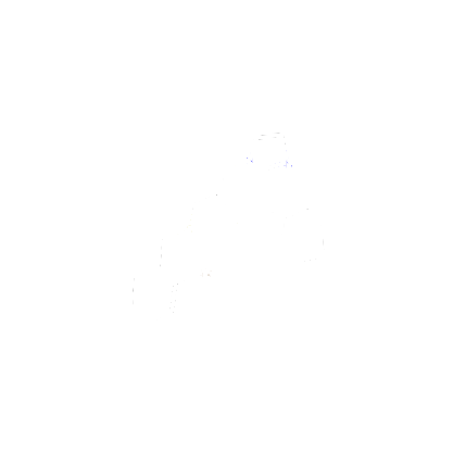 Brc1ccccc1CSCC(Cn1ccnc1)SCC1CCCCC1